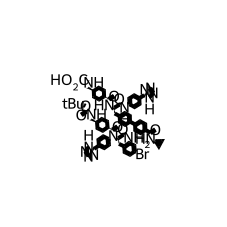 CC(C)(C)OC(=O)NC[C@H]1CC[C@H](C(=O)N(c2ccc(-c3nnn[nH]3)cc2)[C@@H](Cc2ccc(Br)cc2)C(N)=O)CC1.O=C(O)NC[C@H]1CC[C@H](C(=O)N[C@@H](Cc2ccc(-c3ccc(C(=O)NC4CC4)cc3)cc2)C(=O)Nc2ccc(-c3nnn[nH]3)cc2)CC1